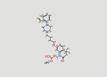 CCCOC(O)OCN1C(=O)CC(C)(C)c2ccc(OCCCCN3CCN(c4cccc5sccc45)CC3)cc21